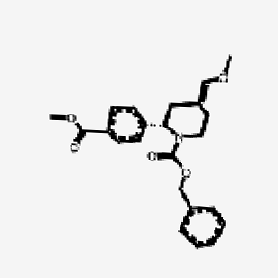 COC=C1CCN(C(=O)OCc2ccccc2)[C@H](c2ccc(C(=O)OC)cc2)C1